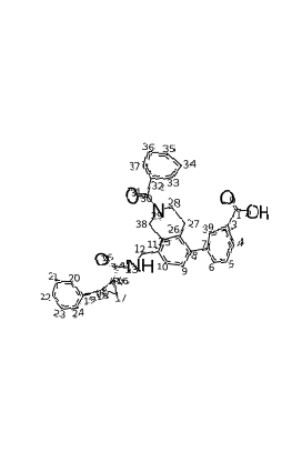 O=C(O)c1cccc(-c2ccc(CNC(=O)[C@@H]3C[C@H]3c3ccccc3)c3c2CCN(C(=O)c2ccccc2)C3)c1